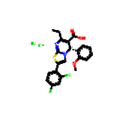 CCC1=C(C(=O)O)[C@H](c2ccccc2OC)N2C=C(c3ccc(Cl)cc3Cl)SC2=N1.Cl.Cl